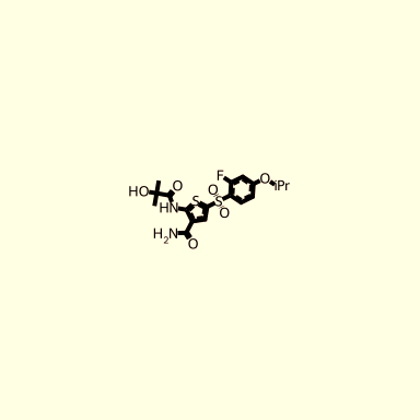 CC(C)Oc1ccc(S(=O)(=O)c2cc(C(N)=O)c(NC(=O)C(C)(C)O)s2)c(F)c1